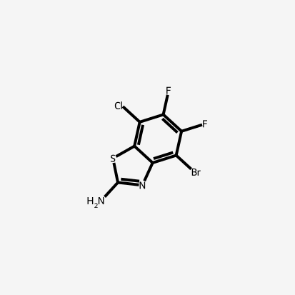 Nc1nc2c(Br)c(F)c(F)c(Cl)c2s1